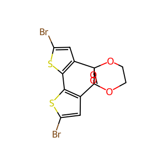 Brc1cc2c(s1)-c1sc(Br)cc1C13OCCOC21OCCO3